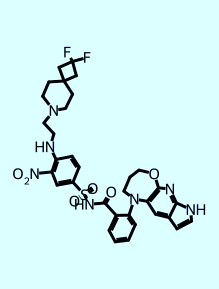 O=C(NS(=O)(=O)c1ccc(NCCN2CCC3(CC2)CC(F)(F)C3)c([N+](=O)[O-])c1)c1ccccc1N1CCCOc2nc3[nH]ccc3cc21